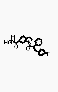 O=C(NO)c1ccc2c(c1)N(C(=O)/C(=C/c1ccc(F)cc1)c1ccccc1)CC2